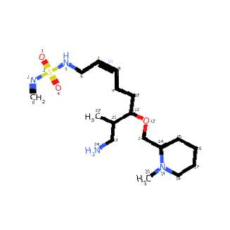 C=NS(=O)(=O)NC/C=C\CCC(OCC1CCCCN1C)C(C)CN